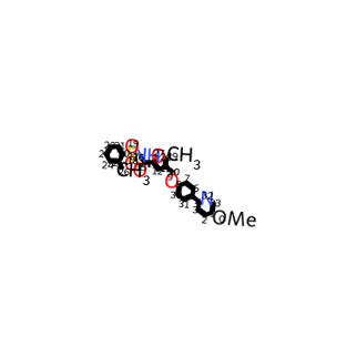 COc1ccc(-c2ccc(OCc3cc(C(=O)NS(=O)(=O)c4ccccc4C)oc3C)cc2)nc1